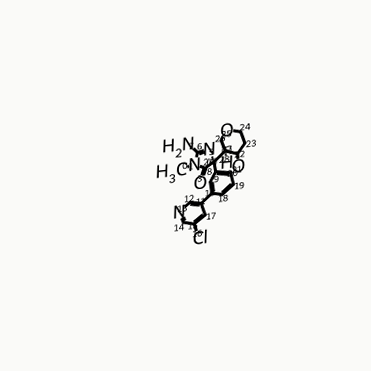 CN1C(=O)[C@]2(N=C1N)c1cc(-c3cncc(Cl)c3)ccc1OC1CCOC[C@@H]12